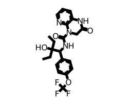 CCC(O)(CC)C(NC(=O)N1CC(=O)Nc2cccnc21)c1ccc(OC(F)(F)F)cc1